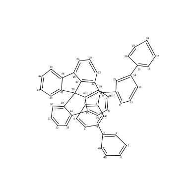 c1ccc(-c2cccc(N(c3cccc(-c4ccccc4)c3)c3cccc4c3C3(c5ccccc5-c5ccccc53)c3ccccc3-4)c2)cc1